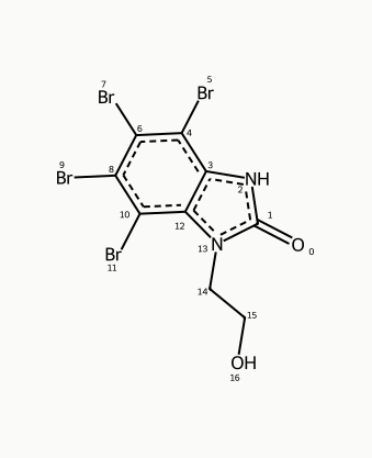 O=c1[nH]c2c(Br)c(Br)c(Br)c(Br)c2n1CCO